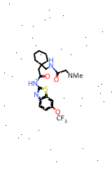 CNCC(=O)NCC1(CC(=O)Nc2nc3ccc(OC(F)(F)F)cc3s2)CCCCC1